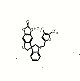 O=C(O)c1cc(CN2CC3(COc4cc5oc(=O)oc5cc43)c3ccccc32)oc1C(F)(F)F